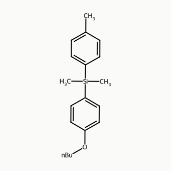 CCCCOc1ccc([Si](C)(C)c2ccc(C)cc2)cc1